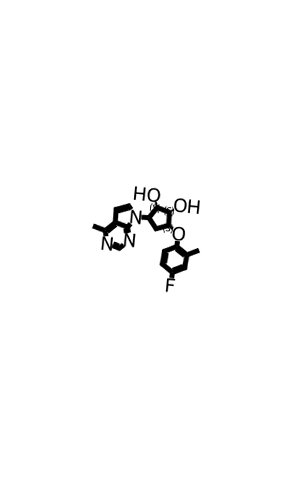 Cc1cc(F)ccc1O[C@H]1CC(n2ccc3c(C)ncnc32)[C@H](O)[C@@H]1O